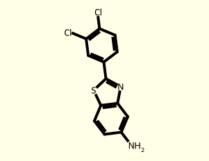 Nc1ccc2sc(-c3ccc(Cl)c(Cl)c3)nc2c1